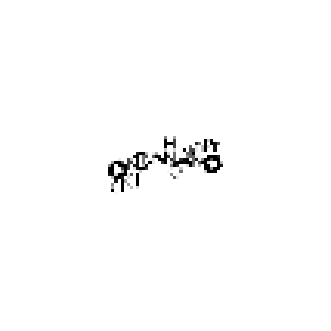 CCCc1nc(C(=O)NCCN2CCN(c3cccc(Cl)c3Cl)CC2)cn1-c1ccccc1